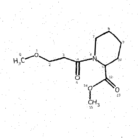 COCCC(=O)N1CCCCC1C(=O)OC